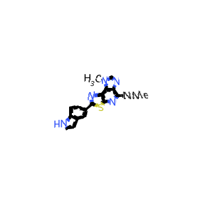 CNc1nc2sc(-c3ccc4[nH]ccc4c3)nc2c2c1ncn2C